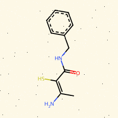 C/C(N)=C(/S)C(=O)NCc1ccccc1